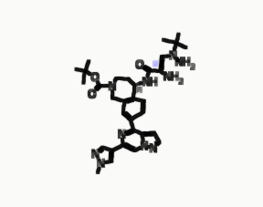 Cn1cc(-c2cn3nccc3c(-c3ccc4c(c3)CN(C(=O)OC(C)(C)C)CC[C@H]4NC(=O)/C(N)=C/N(N)C(C)(C)C)n2)cn1